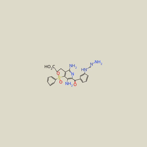 NN=CNc1cccc(C(=O)c2nc(N)c(CCC(=O)O)c(S(=O)(=O)c3ccccc3)c2N)c1